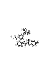 NCc1ccccc1-c1ccccc1OC(=O)NCc1ccc(F)cc1F.O=C(O)C(F)(F)F